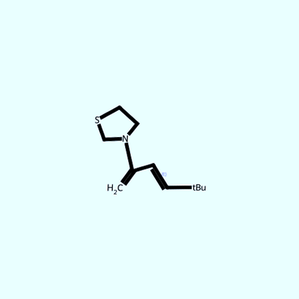 C=C(/C=C/C(C)(C)C)N1CCSC1